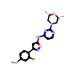 COc1ccc(-c2cc(Nc3ccnc(N4C[C@@H](C)O[C@@H](C)C4)n3)on2)c(F)c1